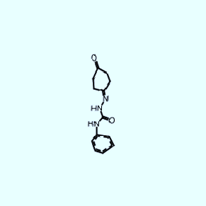 O=C1CCC(=NNC(=O)Nc2ccccc2)CC1